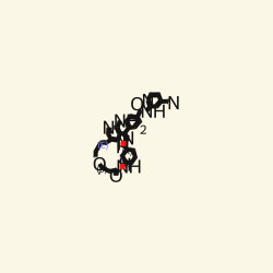 C[C@H]1CC(=O)N[C@@H]2CCC[C@H](C2)n2nc(-c3ccc(C(=O)Nc4cc(C#N)ccn4)cc3)c3c(N)ncc(c32)/C=C/CCO1